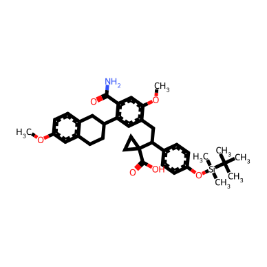 COc1ccc2c(c1)CCC(c1cc(CC(c3ccc(O[Si](C)(C)C(C)(C)C)cc3)C3(C(=O)O)CC3)c(OC)cc1C(N)=O)C2